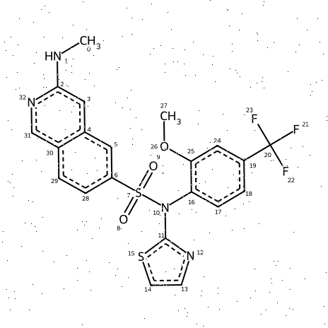 CNc1cc2cc(S(=O)(=O)N(c3nccs3)c3ccc(C(F)(F)F)cc3OC)ccc2cn1